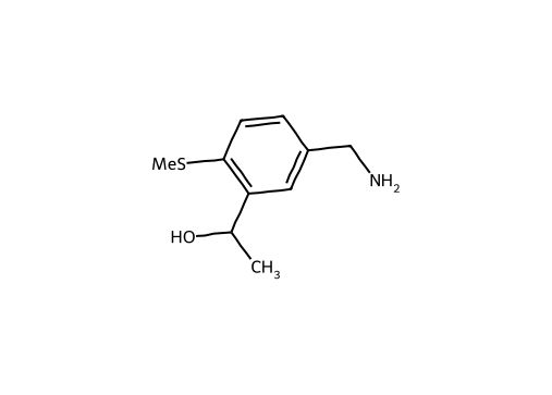 CSc1ccc(CN)cc1C(C)O